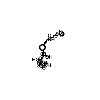 O=C(CCSSc1ccccn1)NCC#CC1CCCCC(C2CC(O)C(COP(=O)(O)OP(=O)(O)OP(=O)(O)O)O2)CC1